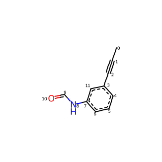 CC#Cc1cccc(NC=O)c1